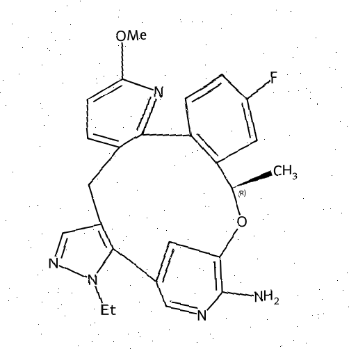 CCn1ncc2c1-c1cnc(N)c(c1)O[C@H](C)c1cc(F)ccc1-c1nc(OC)ccc1C2